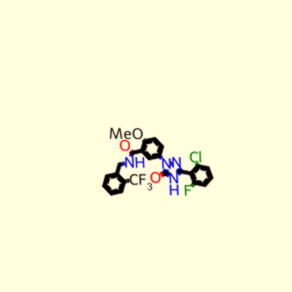 COc1ccc(-n2nc(-c3c(F)cccc3Cl)[nH]c2=O)cc1C(=O)NCc1ccccc1C(F)(F)F